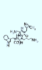 Cn1cncc1C[C@H](NC(=O)CN)C(=O)N[C@@H](CCCCN)C(=O)N[C@@H](Cc1c[nH]c2ccccc12)C(=O)O